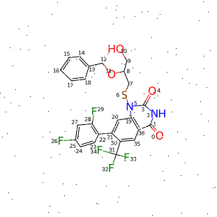 O=c1[nH]c(=O)n(SCC(CO)OCc2ccccc2)c2cc(-c3ccc(F)cc3F)c(C(F)(F)F)cc12